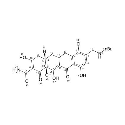 CCCCNCc1cc(O)c2c(c1Cl)CC1C[C@H]3CC(O)=C(C(N)=O)C(=O)[C@@]3(O)C(O)=C1C2=O